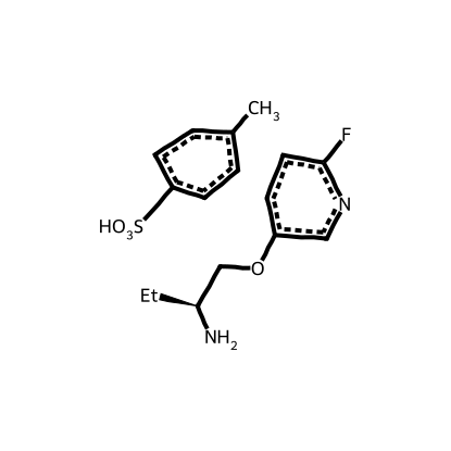 CC[C@H](N)COc1ccc(F)nc1.Cc1ccc(S(=O)(=O)O)cc1